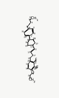 C=CCCc1ccc(C2CCC(/C=C/CCc3ccc(OCC)c(F)c3F)CC2)cc1